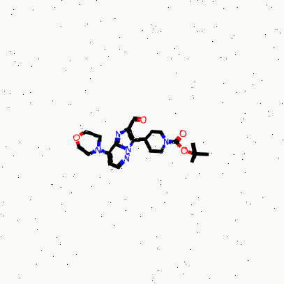 CC(C)(C)OC(=O)N1CCC(c2c(C=O)nc3c(N4CCOCC4)ccnn23)CC1